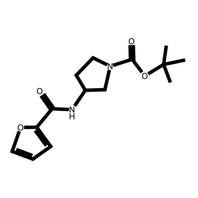 CC(C)(C)OC(=O)N1CCC(NC(=O)c2ccco2)C1